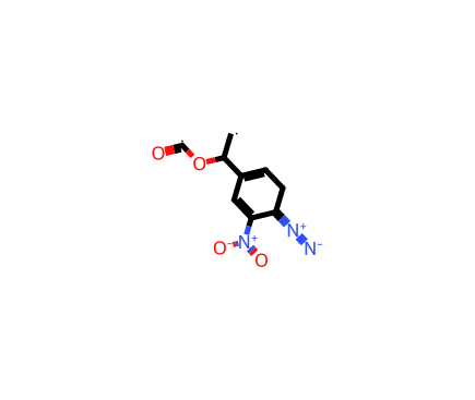 [CH2]C(O[C]=O)C1=CCC(=[N+]=[N-])C([N+](=O)[O-])=C1